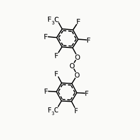 Fc1c(F)c(C(F)(F)F)c(F)c(F)c1OOOc1c(F)c(F)c(C(F)(F)F)c(F)c1F